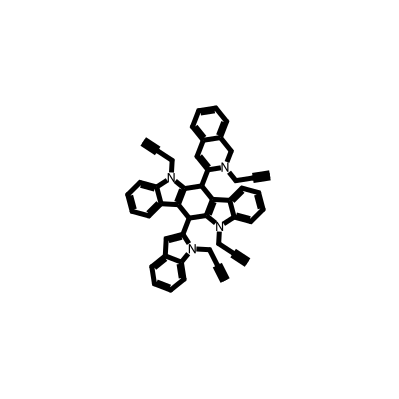 C#CCN1Cc2ccccc2C=C1C1c2c(n(CC#C)c3ccccc23)C(c2cc3ccccc3n2CC#C)c2c1n(CC#C)c1ccccc21